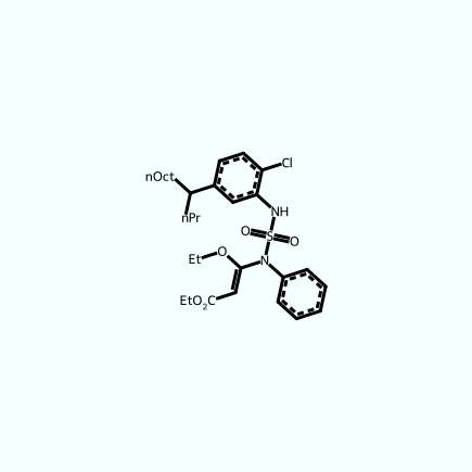 CCCCCCCCC(CCC)c1ccc(Cl)c(NS(=O)(=O)N(C(=CC(=O)OCC)OCC)c2ccccc2)c1